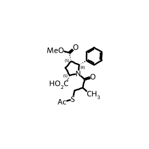 COC(=O)[C@H]1C[C@@H](C(=O)O)N(C(=O)C(C)CSC(C)=O)[C@H]1c1ccccc1